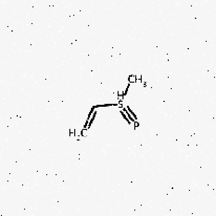 C=C[SH](C)#P